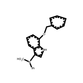 CC(C)N(C(=O)O)c1c[nH]c2c(OCc3ccccc3)cccc12